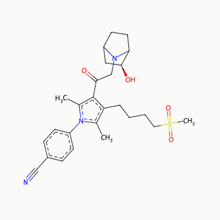 Cc1c(CCCCS(C)(=O)=O)c(C(=O)CN2C3CCC2[C@@H](O)C3)c(C)n1-c1ccc(C#N)cc1